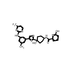 Cc1cc(Nc2nccc(C(F)(F)F)n2)cc(-c2cnc([C@]3(O)CC[C@@H](NC(=O)c4cccc(O)n4)CC3)s2)c1